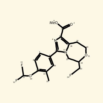 COC(=O)c1nc(-c2ccc(OC(F)F)c(C)c2)n2c1CCOC(CF)C2